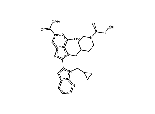 COC(=O)c1cc(OC)c2c(c1)nc(-c1cc3cccnc3n1CC1CC1)n2CC1CCN(C(=O)OC(C)(C)C)CC1